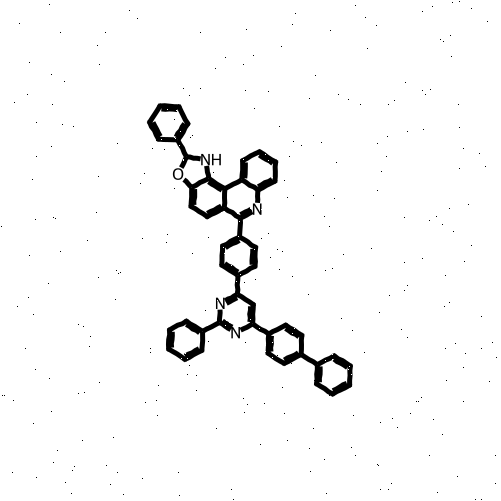 c1ccc(-c2ccc(-c3cc(-c4ccc(-c5nc6ccccc6c6c7c(ccc56)OC(c5ccccc5)N7)cc4)nc(-c4ccccc4)n3)cc2)cc1